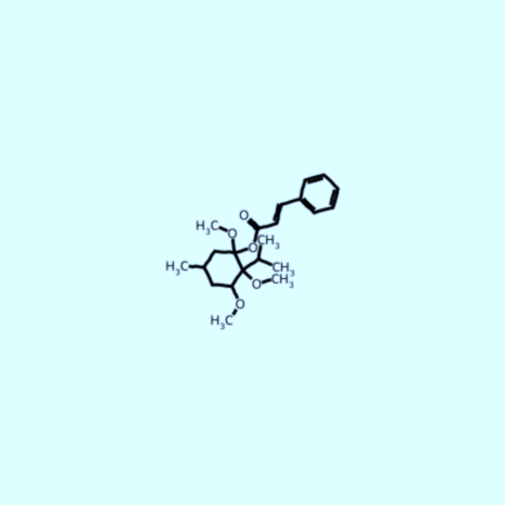 COC1CC(C)CC(OC)(OC(=O)C=Cc2ccccc2)C1(OC)C(C)C